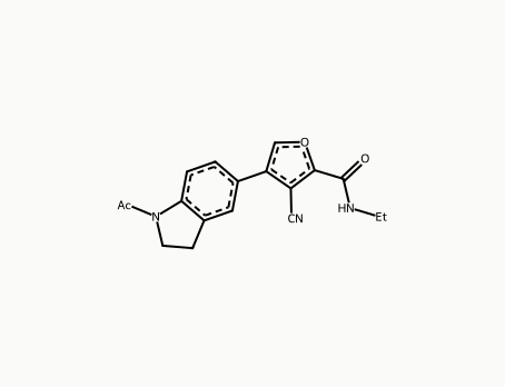 CCNC(=O)c1occ(-c2ccc3c(c2)CCN3C(C)=O)c1C#N